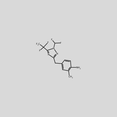 Cc1cc(Cc2nc(C(F)(F)C(F)(F)F)n(C(F)F)n2)ccc1N